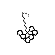 PCCCCCCCC(c1cccc2ccccc12)(c1cccc2ccccc12)c1cccc2ccccc12